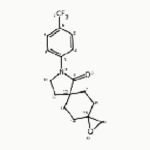 O=C1N(c2ccc(C(F)(F)F)cc2)CCC12CCC1(CC2)CO1